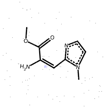 COC(=O)/C(N)=C\c1nccn1C